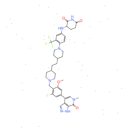 COc1cc(-c2cn(C)c(=O)c3[nH]ncc23)cc(F)c1CN1CCC(CCC2CCN(c3ccc(NC4CCC(=O)NC4=O)cc3C(F)(F)F)CC2)CC1